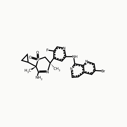 C[C@@]1(c2cc(Nc3nccc4cc(Br)cnc34)ncc2F)CS(=O)(=O)[C@@](C)(C2CC2)C(N)=N1